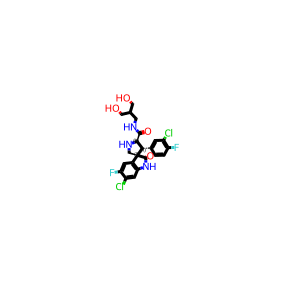 O=C(NCC(CO)CO)[C@@H]1NC[C@]2(C(=O)Nc3cc(Cl)c(F)cc32)[C@H]1c1ccc(F)c(Cl)c1